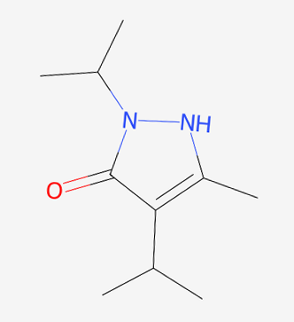 Cc1[nH]n(C(C)C)c(=O)c1C(C)C